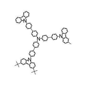 Cc1ccc2c(c1)c1ccccc1n2-c1ccc(-c2ccc(N(c3ccc(-c4ccc(-n5c6ccccc6c6ccccc65)cc4)cc3)c3ccc(-c4ccc(-n5c6ccc(C(C)(C)C)cc6c6cc(C(C)(C)C)ccc65)cc4)cc3)cc2)cc1